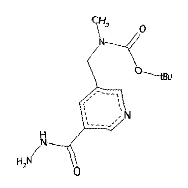 CN(Cc1cncc(C(=O)NN)c1)C(=O)OC(C)(C)C